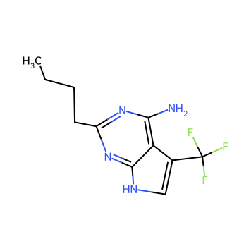 CCCCc1nc(N)c2c(C(F)(F)F)c[nH]c2n1